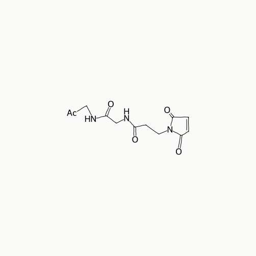 CC(=O)CNC(=O)CNC(=O)CCN1C(=O)C=CC1=O